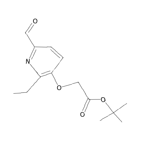 CCc1nc(C=O)ccc1OCC(=O)OC(C)(C)C